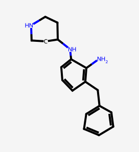 Nc1c(Cc2ccccc2)cccc1NC1CCNCC1